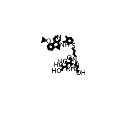 Cc1ccc(SCCCCN(CCCCO)C(=O)C(O)C(O)C(O)C(O)CO)cc1CNC1(c2cnccc2-c2ccccc2OC2CC2)CC1